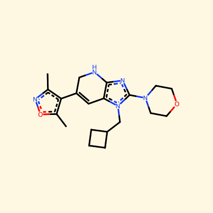 Cc1noc(C)c1C1=Cc2c(nc(N3CCOCC3)n2CC2CCC2)NC1